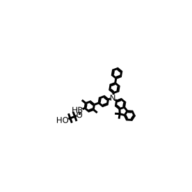 Cc1cc(-c2ccc(N(c3ccc(-c4ccccc4)cc3)c3ccc4c(c3)C(C)(C)c3ccccc3-4)cc2)c(C)cc1BOC(C)(C)C(C)(C)O